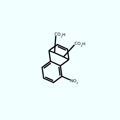 O=C(O)C1C2C=CC(c3c2cccc3[N+](=O)[O-])C1C(=O)O